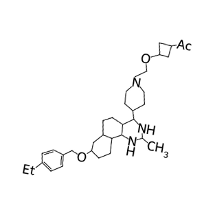 CCc1ccc(COC2CCC3C(CCC4C(C5CCN(CCOC6CC(C(C)=O)C6)CC5)NC(C)NC34)C2)cc1